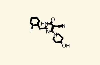 N#Cc1c(N2CCC(O)CC2)nc(Cc2ccccc2F)[nH]c1=O